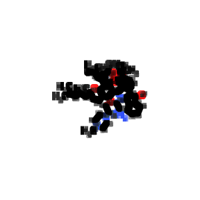 COC(=O)/C(C)=C\CC12OC(C)(C)C3CC(C1=O)C1C4=C(c5ccccc5C4=O)N(CCN)C4=C1C32Oc1c(CC=C(C)C)c2c(c(OCCN3CCN(C)CC3)c14)C=CC(C)(CCC=C(C)C)O2